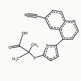 CC(C)(Sc1ccc(-c2ccnc3ccc(C#N)cc23)s1)C(=O)O